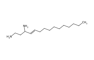 CCCCCCCCCCC=CC(N)CCN